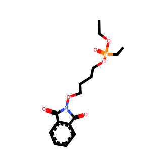 CCOP(=O)(CC)OCCCCON1C(=O)c2ccccc2C1=O